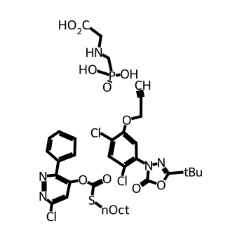 C#CCOc1cc(-n2nc(C(C)(C)C)oc2=O)c(Cl)cc1Cl.CCCCCCCCSC(=O)Oc1cc(Cl)nnc1-c1ccccc1.O=C(O)CNCP(=O)(O)O